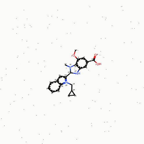 COc1cc(C(=O)O)cc2c1N(C)C(c1cc3ccccc3n1CC1CC1)N2